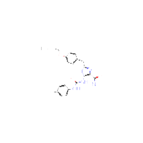 NC(=O)c1nc(Cc2ccc(OCC(=O)O)cc2)[nH]c1NC(=O)Nc1ccc(C(F)(F)F)cc1